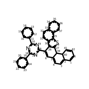 C1=CC2=CC=C3C=C(c4nc(-c5ccccc5)nc(-c5ccccc5)n4)c4c(sc5c4ccc4ccccc45)C3C2C=C1